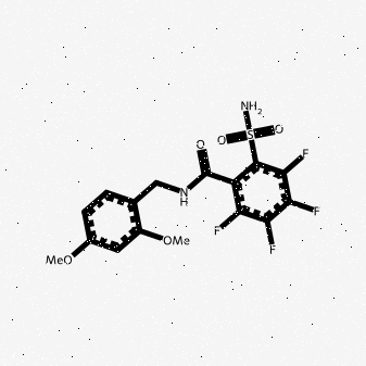 COc1ccc(CNC(=O)c2c(F)c(F)c(F)c(F)c2S(N)(=O)=O)c(OC)c1